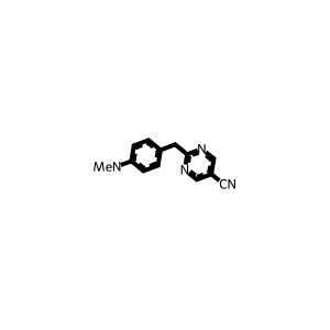 CNc1ccc(Cc2ncc(C#N)cn2)cc1